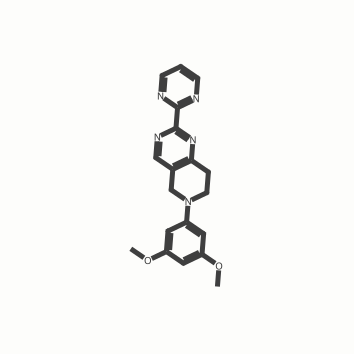 COc1cc(OC)cc(N2CCc3nc(-c4ncccn4)ncc3C2)c1